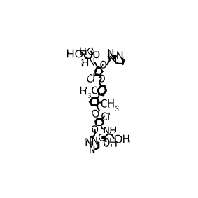 Cc1c(COc2cc(OCc3cnc4ncccn34)c(CNC(CCO)C(=O)O)cc2Cl)cccc1-c1cccc(COc2cc(OCc3cnc4ncccn34)c(CNC(CCO)C(=O)O)cc2Cl)c1C